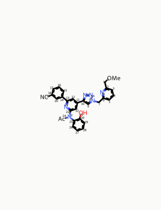 COCc1cccc(Cn2cc(-c3cc(-c4cccc(C#N)c4)nc(N(C(C)=O)c4ccccc4O)c3)nn2)n1